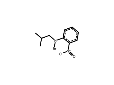 C[C](C)CN(Br)c1ccccc1[N+](=O)[O-]